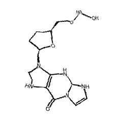 O=C1C2=C(NC3NC=CN13)N([C@H]1CC[C@@H](COPO)O1)CN2